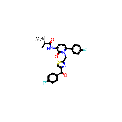 CN[C@@H](C)C(=O)Nc1ccc(-c2ccc(F)cc2)n(Cc2nc(C(=O)c3ccc(F)cc3)cs2)c1=O